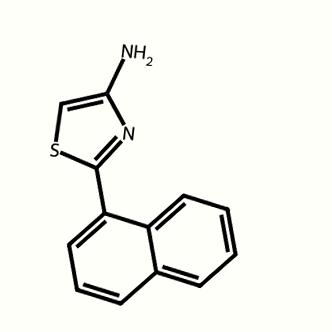 Nc1csc(-c2cccc3ccccc23)n1